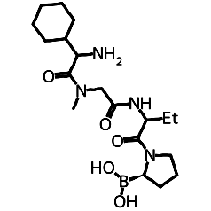 CCC(NC(=O)CN(C)C(=O)C(N)C1CCCCC1)C(=O)N1CCC[C@H]1B(O)O